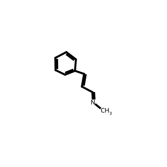 CN=CC=Cc1ccccc1